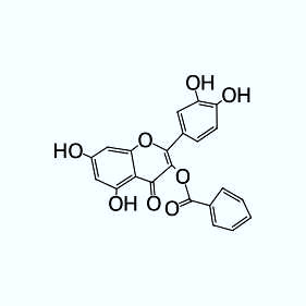 O=C(Oc1c(-c2ccc(O)c(O)c2)oc2cc(O)cc(O)c2c1=O)c1ccccc1